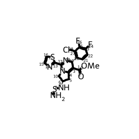 COC(=O)C1=C2C[C@H](NSN)CN2C(c2nccs2)=N[C@@H]1c1ccc(F)c(F)c1Cl